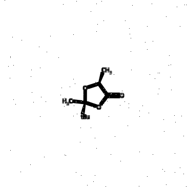 C[C@@H]1O[C@](C)(C(C)(C)C)OC1=O